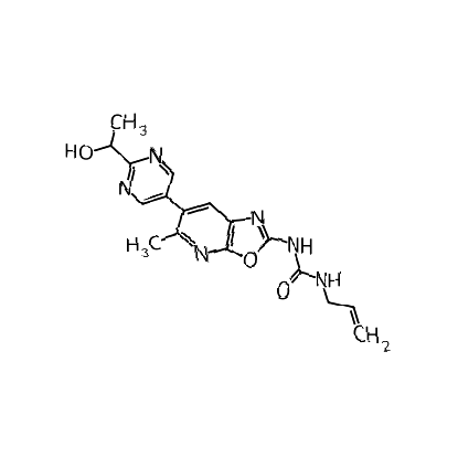 C=CCNC(=O)Nc1nc2cc(-c3cnc(C(C)O)nc3)c(C)nc2o1